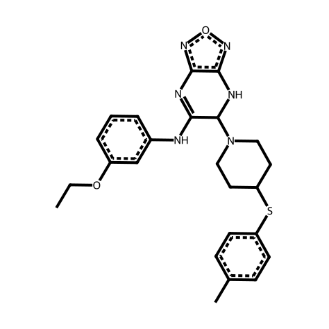 CCOc1cccc(NC2=Nc3nonc3NC2N2CCC(Sc3ccc(C)cc3)CC2)c1